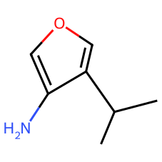 CC(C)c1cocc1N